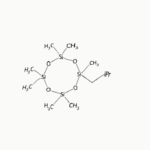 CC(C)C[Si]1(C)O[Si](C)(C)O[Si](C)(C)O[Si](C)(C)O1